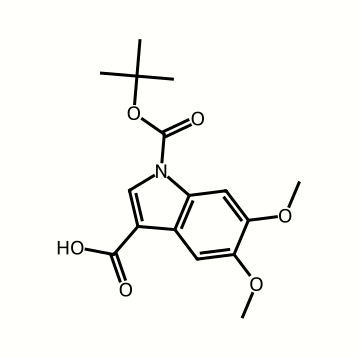 COc1cc2c(C(=O)O)cn(C(=O)OC(C)(C)C)c2cc1OC